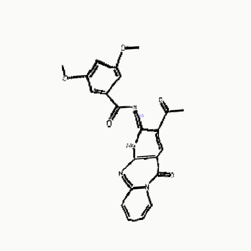 COc1cc(OC)cc(C(=O)/N=c2\[nH]c3nc4ccccn4c(=O)c3cc2C(C)=O)c1